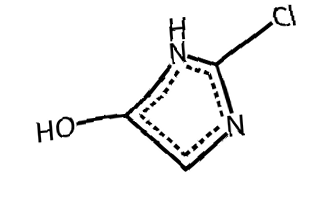 Oc1cnc(Cl)[nH]1